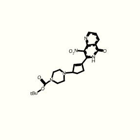 CC(C)(C)OC(=O)N1CCN(C2C=C(c3[nH]c(=O)c4cccnc4c3[N+](=O)[O-])CC2)CC1